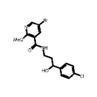 COc1ncc(Br)cc1C(=O)NCCC(O)c1ccc(Cl)cc1